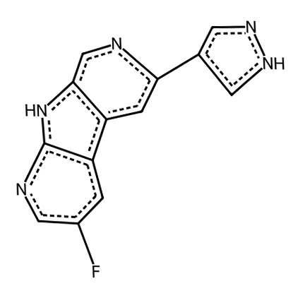 Fc1cnc2[nH]c3cnc(-c4cn[nH]c4)cc3c2c1